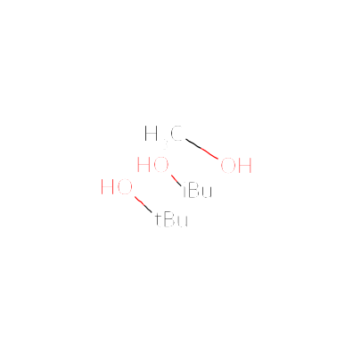 CC(C)(C)O.CCC(C)O.CO